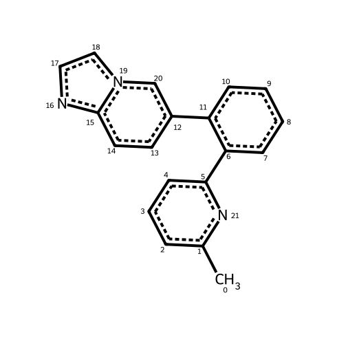 Cc1cccc(-c2ccccc2-c2ccc3nccn3c2)n1